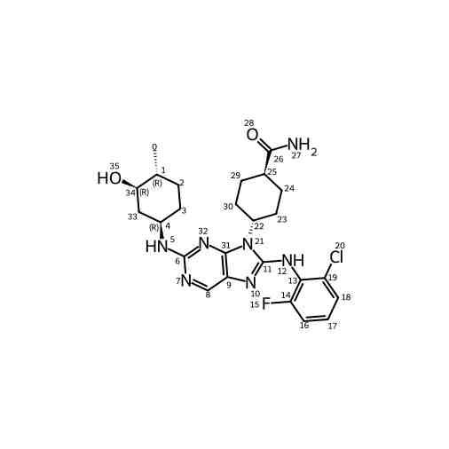 C[C@@H]1CC[C@@H](Nc2ncc3nc(Nc4c(F)cccc4Cl)n([C@H]4CC[C@H](C(N)=O)CC4)c3n2)C[C@H]1O